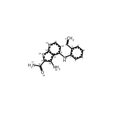 C=Cc1ccccc1Nc1ccnc2sc(C(N)=O)c(N)c12